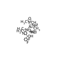 C[C@@H]1CN(CC(=O)N2CC(C)(C)c3ncc(C(O)c4cccc(F)c4F)cc32)[C@@H](CN2[C@H](C)COC[C@H]2C)CN1.Cl.Cl